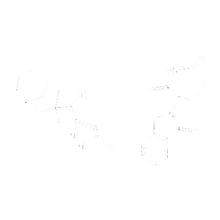 CCC1(C(C)n2cc(COc3cccc4c3CN(C3CCC(=O)NC3=O)C4=O)nn2)CC2CCCC(C2)C1